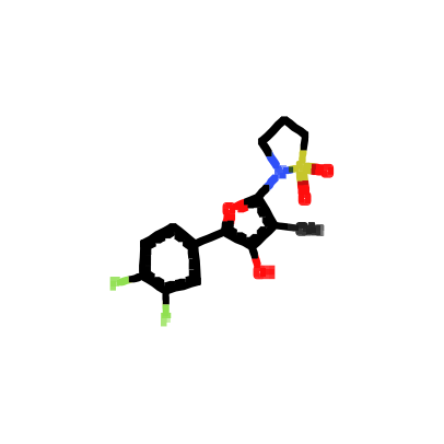 CC(=O)Oc1c(N2CCCS2(=O)=O)oc(-c2ccc(F)c(F)c2)c1O